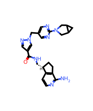 Nc1nccc2c1CC[C@H]2CNC(=O)c1cnn(Cc2cnc(N3CC4CC4C3)nc2)c1